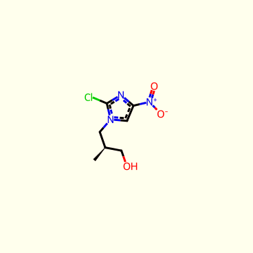 C[C@H](CO)Cn1cc([N+](=O)[O-])nc1Cl